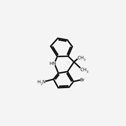 CC1(C)c2ccccc2Nc2c(N)ccc(Br)c21